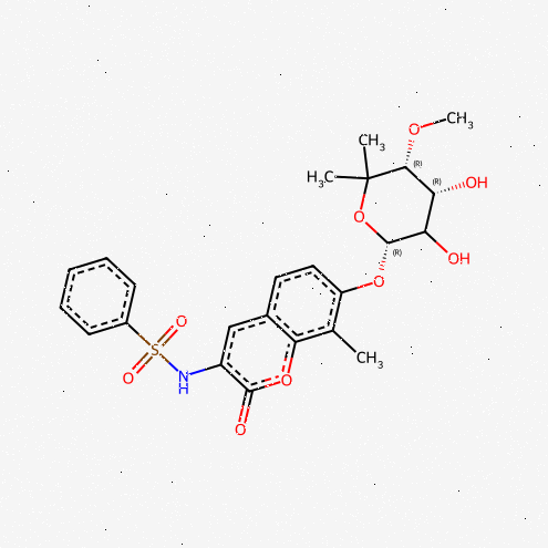 CO[C@@H]1[C@H](O)C(O)[C@H](Oc2ccc3cc(NS(=O)(=O)c4ccccc4)c(=O)oc3c2C)OC1(C)C